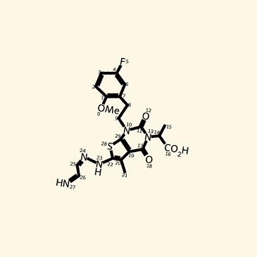 COc1ccc(F)cc1CCn1c(=O)n(C(C)C(=O)O)c(=O)c2c(C)c(N/N=C\C=N)sc21